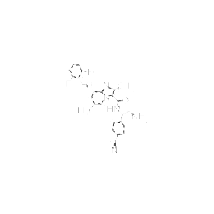 Cc1cc(OCc2c(F)cccc2F)c2nc(C)c(C(=O)NC(CN)c3ccc(C#N)cc3)n2c1